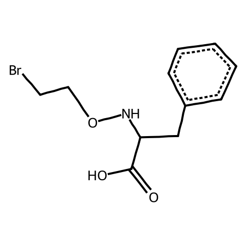 O=C(O)C(Cc1ccccc1)NOCCBr